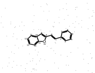 [C](=Cc1ccccc1)c1cc2ccccc2o1